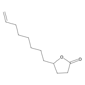 C=CCCCCCCC1CCC(=O)O1